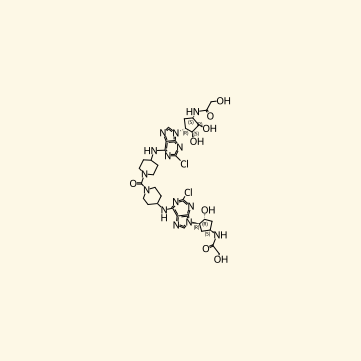 O=C(CO)N[C@@H]1C[C@@H](O)[C@H](n2cnc3c(NC4CCN(C(=O)N5CCC(Nc6nc(Cl)nc7c6ncn7[C@@H]6C[C@H](NC(=O)CO)[C@@H](O)[C@H]6O)CC5)CC4)nc(Cl)nc32)C1